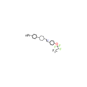 CCCc1ccc(C2CCC(/C=C/c3ccc(OC(F)(F)C(F)C(F)(F)F)cc3)CC2)cc1